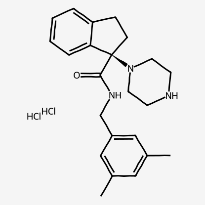 Cc1cc(C)cc(CNC(=O)[C@@]2(N3CCNCC3)CCc3ccccc32)c1.Cl.Cl